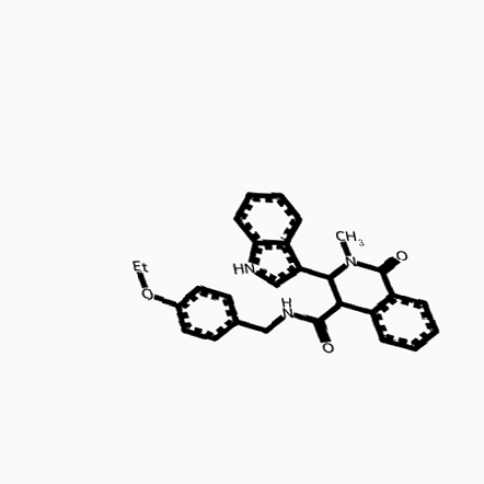 CCOc1ccc(CNC(=O)C2c3ccccc3C(=O)N(C)C2c2c[nH]c3ccccc23)cc1